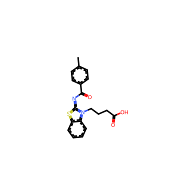 Cc1ccc(C(=O)N=c2sc3ccccc3n2CCCC(=O)O)cc1